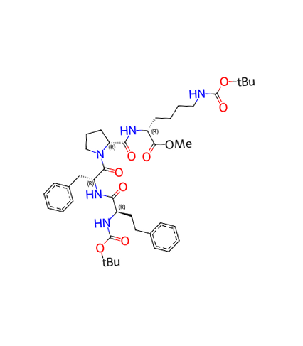 COC(=O)[C@@H](CCCCNC(=O)OC(C)(C)C)NC(=O)[C@H]1CCCN1C(=O)[C@@H](Cc1ccccc1)NC(=O)[C@@H](CCc1ccccc1)NC(=O)OC(C)(C)C